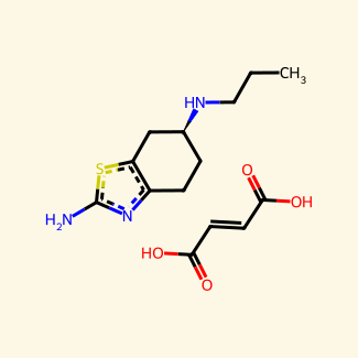 CCCN[C@H]1CCc2nc(N)sc2C1.O=C(O)/C=C/C(=O)O